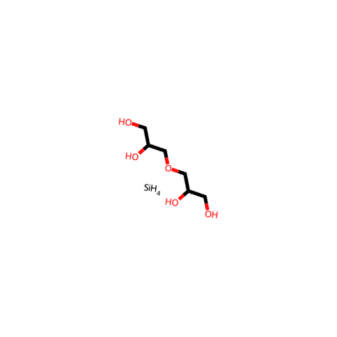 OCC(O)COCC(O)CO.[SiH4]